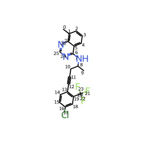 Cc1cccc2c(NC(C)CC#Cc3ccc(Cl)cc3C(F)(F)F)ncnc12